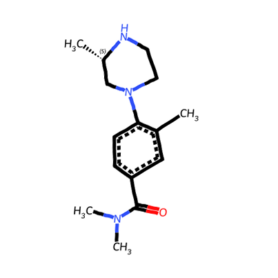 Cc1cc(C(=O)N(C)C)ccc1N1CCN[C@@H](C)C1